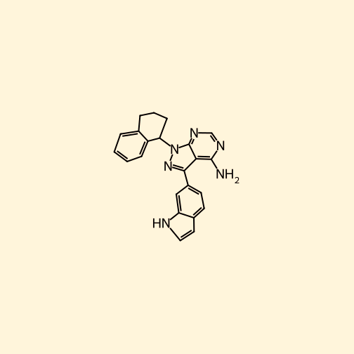 Nc1ncnc2c1c(-c1ccc3cc[nH]c3c1)nn2C1CCCc2ccccc21